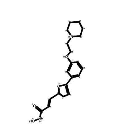 O=C(/C=C/C1CC=C(c2cccc(OCCN3CCCCC3)c2)O1)NO